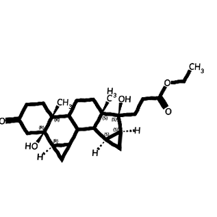 CCOC(=O)CC[C@]1(O)[C@H]2C[C@H]2C2C3C4C[C@H]4[C@]4(O)CC(=O)CC[C@]4(C)C3CC[C@@]21C